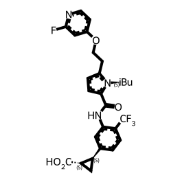 CC[C@H](C)n1c(CCOc2ccnc(F)c2)ccc1C(=O)Nc1cc([C@H]2C[C@@H]2C(=O)O)ccc1C(F)(F)F